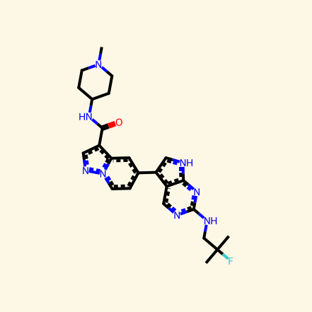 CN1CCC(NC(=O)c2cnn3ccc(-c4c[nH]c5nc(NCC(C)(C)F)ncc45)cc23)CC1